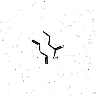 C=COC=C.CCCC(=O)O